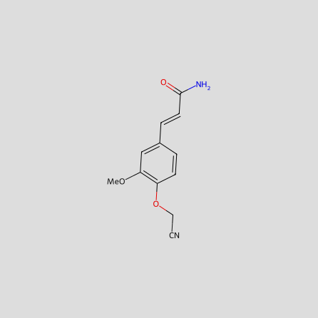 COc1cc(C=CC(N)=O)ccc1OCC#N